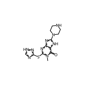 Cn1c(Sc2nc[nH]n2)nc2nc(N3CCNCC3)[nH]c2c1=O